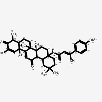 C=C1C(C#N)=CC2(C)C3=CC(=O)C4C5CC(C)(C)CCC5(NC(=O)/C=C(\C#N)c5ccc(OC)cc5)CC[C@@]4(C)C3(C)CCC2C1C